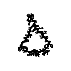 CC(C)CCC(COC(=O)CCCCCCCCCC(CCCCCCCCCC(=O)OCC(CCC(C)C)C(C)C)CN1CCCC1)C(C)C